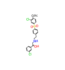 CC(=O)Oc1ccc(S(=O)(=O)c2ccc(CCNC[C@@H](O)c3cccc(Cl)c3)cc2)cc1Cl